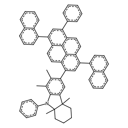 Cc1c(-c2cc(-c3cccc4ccccc34)c3ccc4c(-c5ccccc5)cc(-c5cccc6ccccc56)c5ccc2c3c45)cc2c(c1C)N(c1ccccc1)C1(C)CCCCC21C